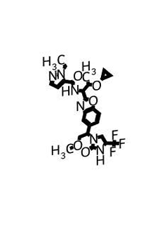 CCn1nccc1C(=O)NC(c1nc2cc(C(COC)N3CC(C(F)(F)F)NC3=O)ccc2o1)C(C)OC1CC1